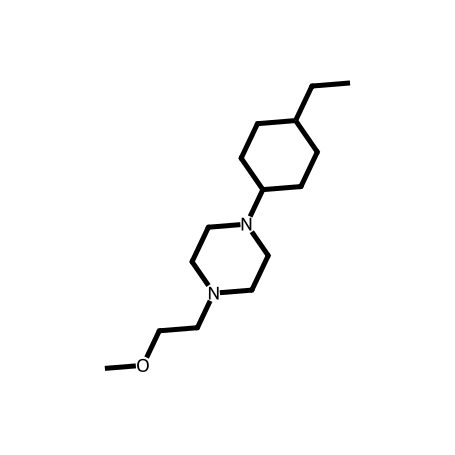 CCC1CCC(N2CCN(CCOC)CC2)CC1